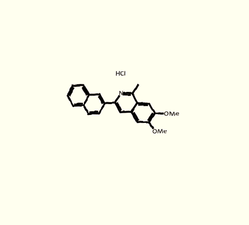 COc1cc2cc(-c3ccc4ccccc4c3)nc(C)c2cc1OC.Cl